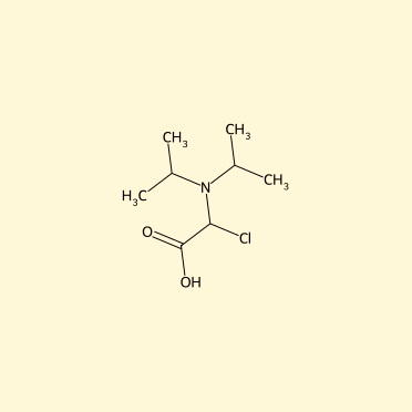 CC(C)N(C(C)C)C(Cl)C(=O)O